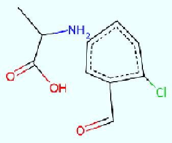 CC(N)C(=O)O.O=Cc1ccccc1Cl